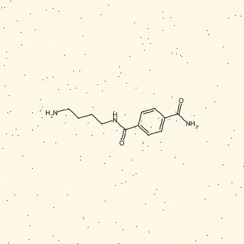 NCCCCNC(=O)c1ccc(C(N)=O)cc1